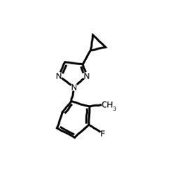 Cc1c(F)cccc1-n1ncc(C2CC2)n1